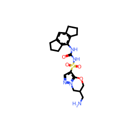 NCC1COc2c(S(=O)(=O)NC(=O)Nc3c4c(cc5c3CCC5)CCC4)cnn2C1